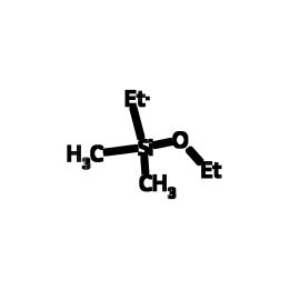 C[CH][Si](C)(C)OCC